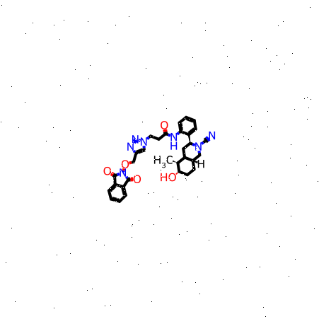 C[C@@H]1C2C[C@@H](c3ccccc3NC(=O)CCn3cc(CON4C(=O)c5ccccc5C4=O)nn3)N(C#N)C[C@@H]2CC[C@@H]1O